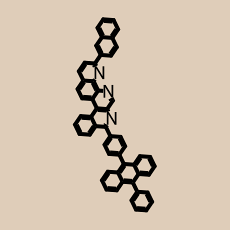 c1ccc(-c2c3ccccc3c(-c3ccc(-c4nc5cnc6c(ccc7ccc(-c8ccc9ccccc9c8)nc76)c5c5ccccc45)cc3)c3ccccc23)cc1